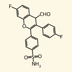 NS(=O)(=O)c1ccc(C2=C(c3ccc(F)cc3)C(C=O)c3ccc(F)cc3O2)cc1